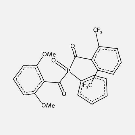 COc1cccc(OC)c1C(=O)P(=O)(C(=O)c1c(C(F)(F)F)cccc1C(F)(F)F)c1ccccc1